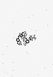 COCc1nn(Cc2ccc3c(c2)CN(C)CC3)cc1C(=O)NCc1c(-n2cnc(C(F)F)n2)ccc(OC)c1F